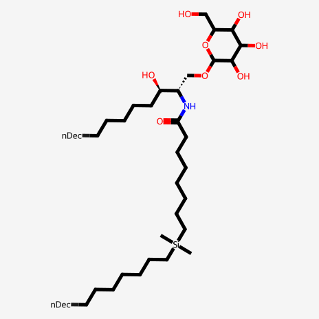 CCCCCCCCCCCCCCCCC[Si](C)(C)CCCCCCCC(=O)N[C@@H](COC1OC(CO)C(O)C(O)C1O)[C@H](O)CCCCCCCCCCCCCCC